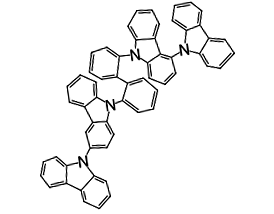 c1ccc(-n2c3ccccc3c3cc(-n4c5ccccc5c5ccccc54)ccc32)c(-c2ccccc2-n2c3ccccc3c3c(-n4c5ccccc5c5ccccc54)cccc32)c1